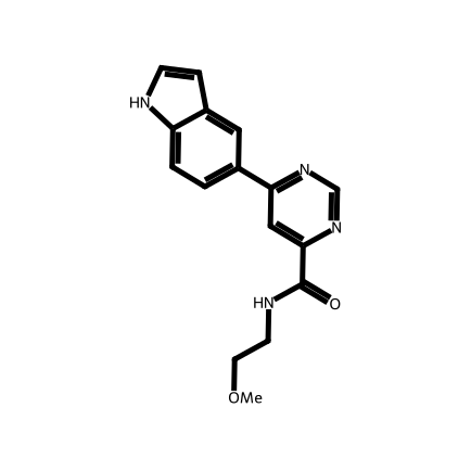 COCCNC(=O)c1cc(-c2ccc3[nH]ccc3c2)ncn1